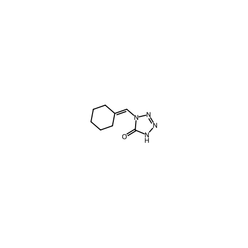 O=c1[nH]nnn1C=C1CCCCC1